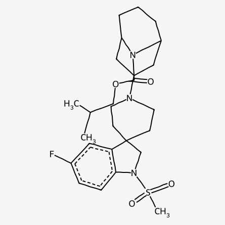 CC(C)COC(=O)N1C2CCCC1CC(N1CCC3(CC1)CN(S(C)(=O)=O)c1ccc(F)cc13)C2